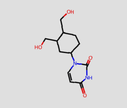 O=c1ccn(C2CCC(CO)C(CO)C2)c(=O)[nH]1